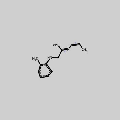 C/C=C\N=C(/CCC)CNc1ccccc1C